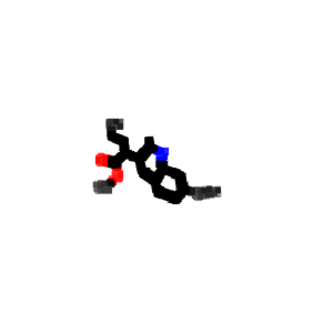 COc1ccc2cc(C(CCC#N)C(=O)OC(C)(C)C)c(C)nc2c1